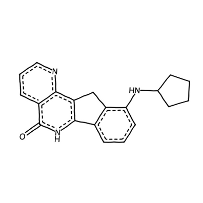 O=c1[nH]c2c(c3ncccc13)Cc1c(NC3CCCC3)cccc1-2